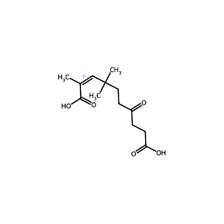 C/C(=C/C(C)(C)CCC(=O)CCC(=O)O)C(=O)O